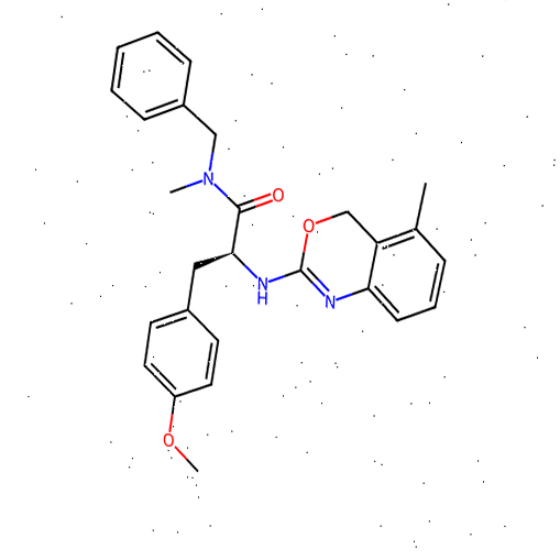 COc1ccc(C[C@H](NC2=Nc3cccc(C)c3CO2)C(=O)N(C)Cc2ccccc2)cc1